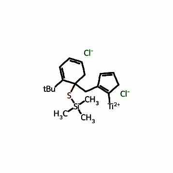 CC(C)(C)C1=CC=CCC1(CC1=[C]([Ti+2])CC=C1)S[Si](C)(C)C.[Cl-].[Cl-]